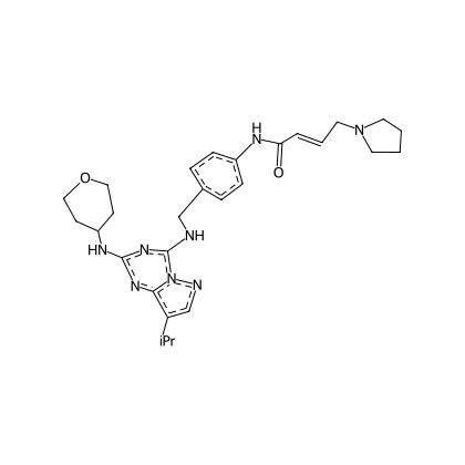 CC(C)c1cnn2c(NCc3ccc(NC(=O)C=CCN4CCCC4)cc3)nc(NC3CCOCC3)nc12